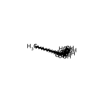 CCCCCCCCCCCCCCCCCC(=O)CC(O)C(O)OP(=O)(O)OC1C(O)C(O)C(O)C(O)C1O